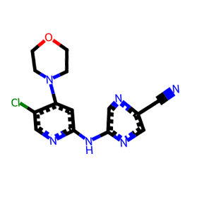 N#Cc1cnc(Nc2cc(N3CCOCC3)c(Cl)cn2)cn1